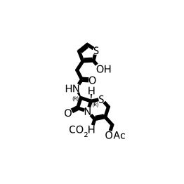 CC(=O)OCC1=C(C(=O)O)N2C(=O)[C@@H](NC(=O)Cc3ccsc3O)[C@H]2SC1